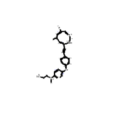 C=C(/C=C\C(=C/C)Oc1ccc(C#C/C2=C/C(C)/C=C(F)\C=N/CN2)cc1)N(C)CCO